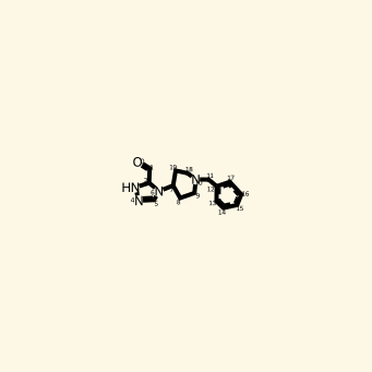 O=CC1NN=CN1C1CCN(Cc2ccccc2)CC1